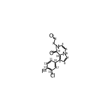 O=CCn1ccn2ccc(-c3ccc(F)c(Cl)c3)c2c1=O